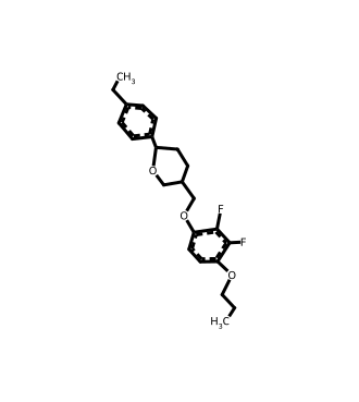 CCCOc1ccc(OCC2CCC(c3ccc(CC)cc3)OC2)c(F)c1F